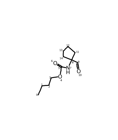 CCCCOC(=O)NC1(C=O)CCCC1